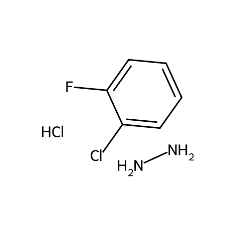 Cl.Fc1ccccc1Cl.NN